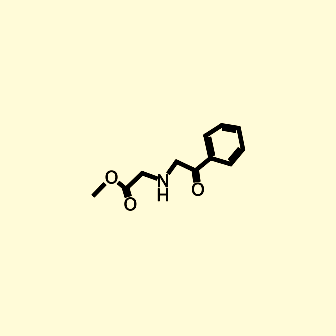 COC(=O)CNCC(=O)c1ccccc1